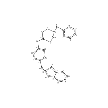 c1cncc(OC2CCN(Cc3ccc(Oc4nc5ccncc5s4)cc3)CC2)c1